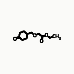 CCOC(=O)COCC1CCC(=O)CC1